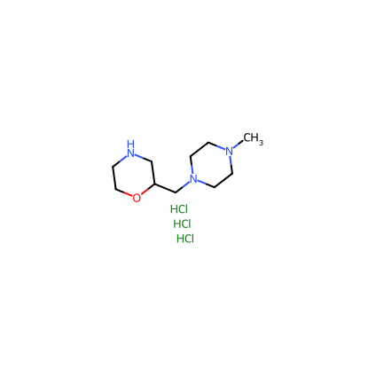 CN1CCN(CC2CNCCO2)CC1.Cl.Cl.Cl